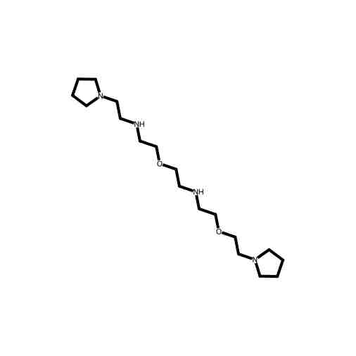 C1CCN(CCNCCOCCNCCOCCN2CCCC2)C1